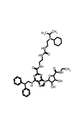 CCNC(=O)C1OC(n2cnc3c(NCC(c4ccccc4)c4ccccc4)nc(C(=O)NCCNC(=O)NCCN(C(C)C)C4CCCCC4)nc32)C(O)C1O